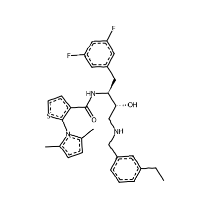 CCc1cccc(CNC[C@@H](O)[C@H](Cc2cc(F)cc(F)c2)NC(=O)c2ccsc2-n2c(C)ccc2C)c1